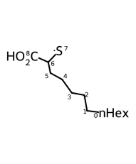 CCCCCCCCCCCC([S])C(=O)O